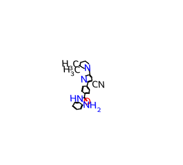 CC1(C)CCCN(Cc2cnc(-c3ccc(C(=O)Nc4ccccc4N)cc3)c(C#N)c2)C1